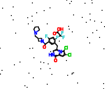 O=C(O)C(F)(F)F.O=C(c1cc(Cc2c[nH]c(=O)c3cc(Cl)c(Cl)n23)ccc1F)N1CC(CN2CCCC2)C1